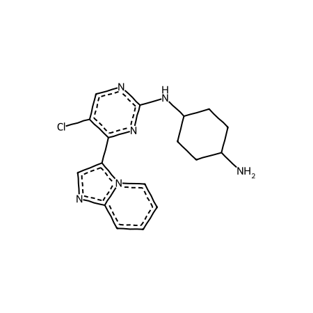 NC1CCC(Nc2ncc(Cl)c(-c3cnc4ccccn34)n2)CC1